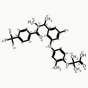 Cc1cc(Oc2cc(F)cc(C(C)N(C)C(=O)c3ccc(C(F)(F)F)cc3)c2)ccc1OC(C)(C)C(=O)O